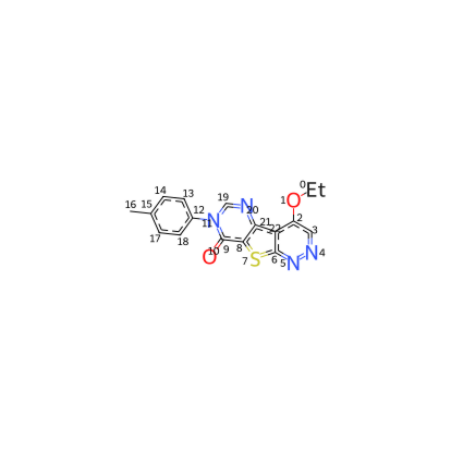 CCOc1cnnc2sc3c(=O)n(-c4ccc(C)cc4)cnc3c12